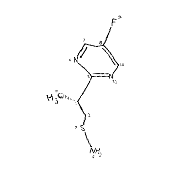 C[C@@H](CSN)c1ncc(F)cn1